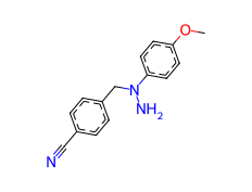 COc1ccc(N(N)Cc2ccc(C#N)cc2)cc1